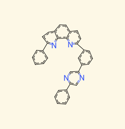 c1ccc(-c2cnc(-c3cccc(-c4ccc5ccc6ccc(-c7ccccc7)nc6c5n4)c3)cn2)cc1